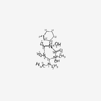 CN(C)C1N(O)C(=O)[N+](O)(C2CCCCC2)C(=O)[N+]1(C)O